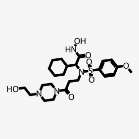 COc1ccc(S(=O)(=O)N(CCC(=O)N2CCN(CCO)CC2)C(C(=O)NO)C2CCCCC2)cc1